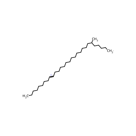 [CH2]CCCCCCC/C=C/CCCCCCCCCCCCCC(C)CCCC[CH2]